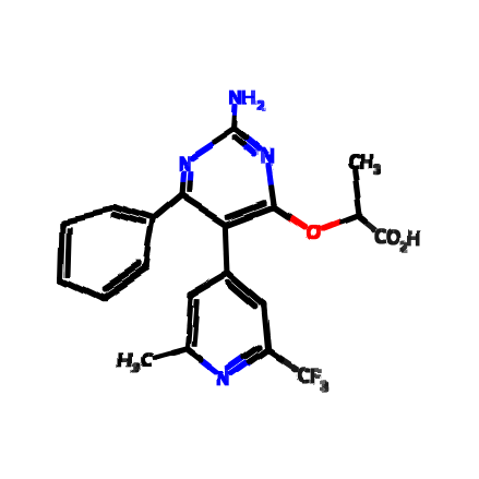 Cc1cc(-c2c(OC(C)C(=O)O)nc(N)nc2-c2ccccc2)cc(C(F)(F)F)n1